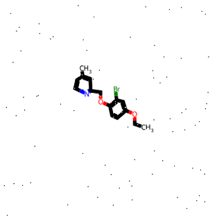 CCOc1ccc(OCc2cc(C)ccn2)c(Br)c1